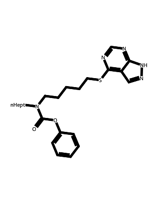 CCCCCCCN(CCCCCSc1ncnc2[nH]ncc12)C(=O)Oc1ccccc1